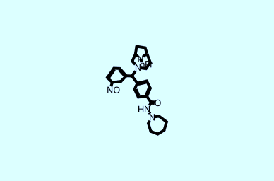 CCCN1C2CCC1CN(C(C1=CC=CC(N=O)C1)c1ccc(C(=O)NN3CCCCCC3)cc1)CC2